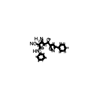 N#Cc1c(Nc2ccccc2)sc(C(=O)c2cc(-c3ccccc3)no2)c1N